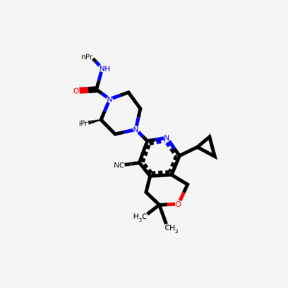 CCCNC(=O)N1CCN(c2nc(C3CC3)c3c(c2C#N)CC(C)(C)OC3)C[C@H]1C(C)C